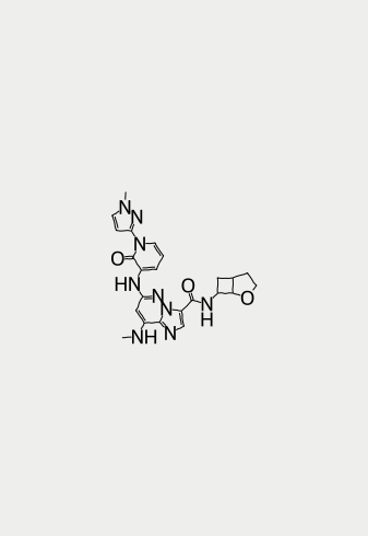 CNc1cc(Nc2cccn(-c3ccn(C)n3)c2=O)nn2c(C(=O)NC3CC4CCOC43)cnc12